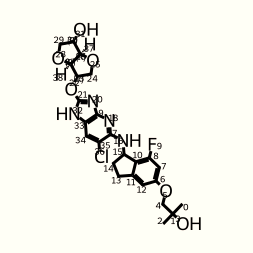 CC(C)(O)COc1cc(F)c2c(c1)CCC2Nc1nc2nc(O[C@@H]3CO[C@H]4[C@@H]3OC[C@H]4O)[nH]c2cc1Cl